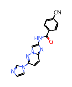 N#Cc1ccc(C(=O)Nc2cn3nc(-n4ccnc4)ccc3n2)cc1